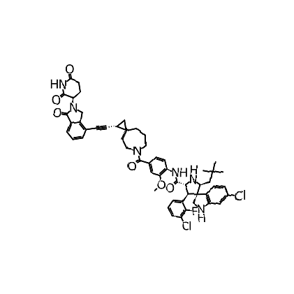 COc1cc(C(=O)N2CCCC3(CC2)C[C@H]3C#Cc2cccc3c2CN([C@@H]2CCC(=O)NC2=O)C3=O)ccc1NC(=O)[C@@H]1N[C@@H](CC(C)(C)C)[C@@]2(CNc3cc(Cl)ccc32)[C@H]1c1cccc(Cl)c1F